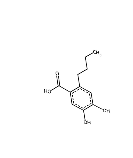 CCCCc1cc(O)c(O)cc1C(=O)O